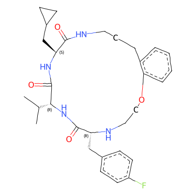 CC(C)[C@H]1NC(=O)[C@@H](Cc2ccc(F)cc2)NCCOc2ccccc2CCCNC(=O)[C@H](CC2CC2)NC1=O